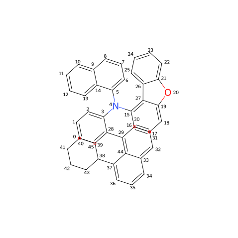 c1ccc(N(c2cccc3ccccc23)c2cccc3oc4ccccc4c23)c(-c2cccc3cccc(C4CCCCC4)c23)c1